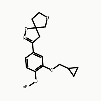 CCCOc1ccc(C2=NOC3(CCOC3)C2)cc1OCC1CC1